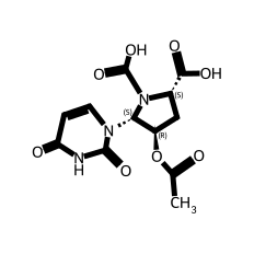 CC(=O)O[C@@H]1C[C@@H](C(=O)O)N(C(=O)O)[C@H]1n1ccc(=O)[nH]c1=O